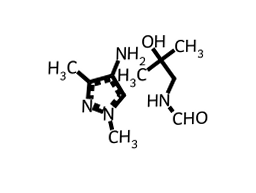 CC(C)(O)CNC=O.Cc1nn(C)cc1N